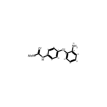 CNC(=O)Nc1ccc(Oc2ccccc2N)cc1